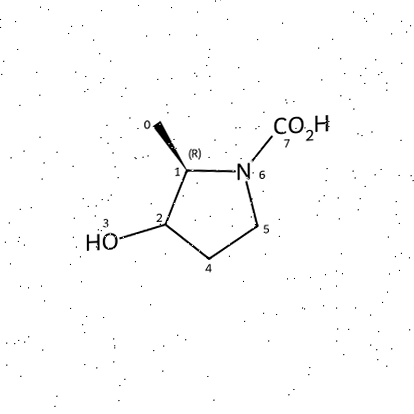 C[C@@H]1C(O)CCN1C(=O)O